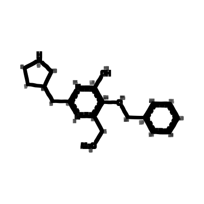 COCc1nc(CC2CCNC2)nc(O)c1OCc1ccccc1